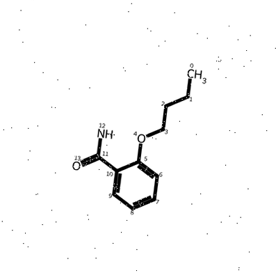 CCCCOc1ccccc1C([NH])=O